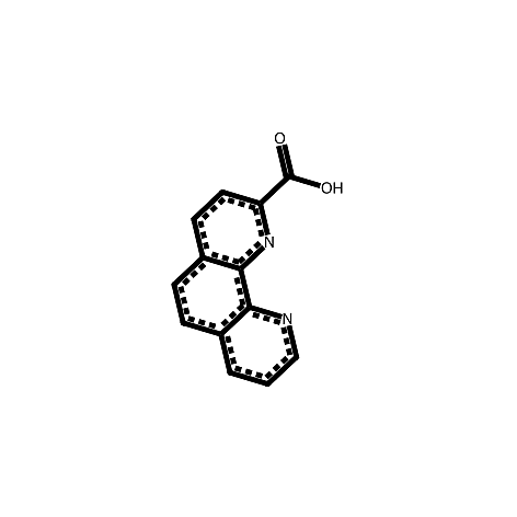 O=C(O)c1ccc2ccc3cccnc3c2n1